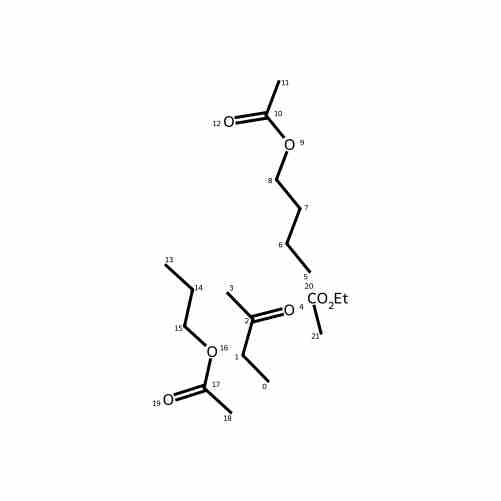 CCC(C)=O.CCCCOC(C)=O.CCCOC(C)=O.CCOC(C)=O